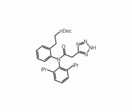 CCCCCCCCCCCCc1ccccc1N(C(=O)Cc1nn[nH]n1)c1c(C(C)C)cccc1C(C)C